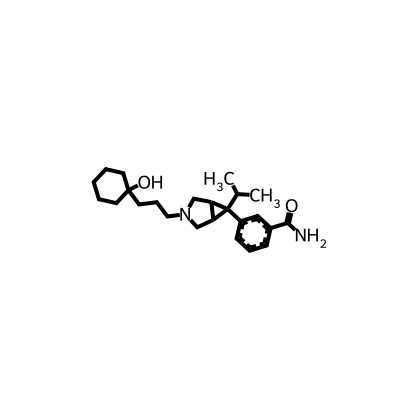 CC(C)C1(c2cccc(C(N)=O)c2)C2CN(CCCC3(O)CCCCC3)CC21